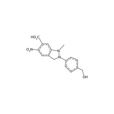 CN1c2cc(C(=O)O)c([N+](=O)[O-])cc2CN1c1ccc(CO)cc1